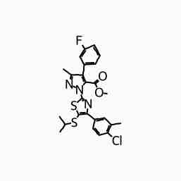 COC(=O)c1c(-c2cccc(F)c2)c(C)nn1-c1nc(-c2ccc(Cl)c(C)c2)c(SC(C)C)s1